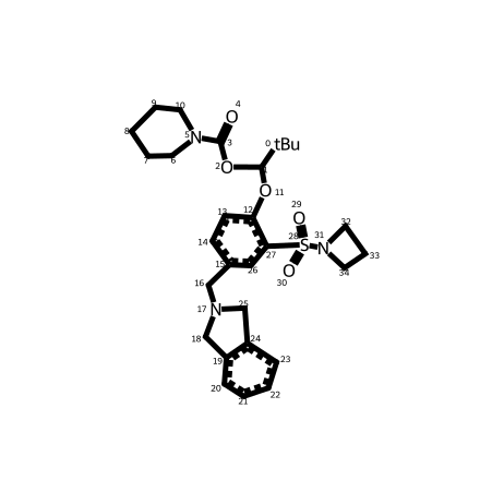 CC(C)(C)C(OC(=O)N1CCCCC1)Oc1ccc(CN2Cc3ccccc3C2)cc1S(=O)(=O)N1CCC1